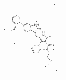 COc1ccccc1-c1ccc2c(c1)NC(=O)/C2=C\c1[nH]c(C)c(C(=O)NCCN(C)C)c1-c1ccccc1